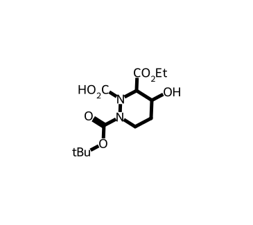 CCOC(=O)C1C(O)CCN(C(=O)OC(C)(C)C)N1C(=O)O